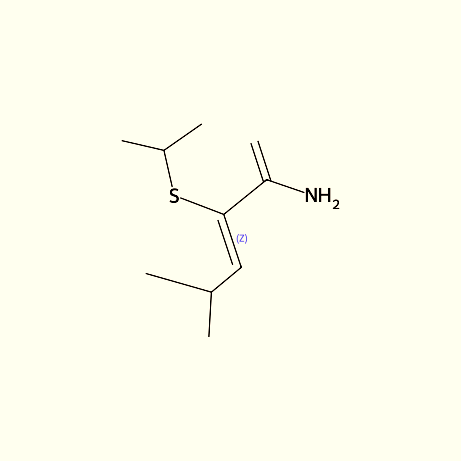 C=C(N)/C(=C/C(C)C)SC(C)C